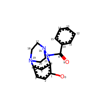 [O]c1ccc2cc1N(C(=O)c1ccccc1)N1CCN2CC1